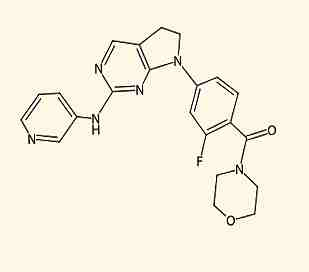 O=C(c1ccc(N2CCc3cnc(Nc4cccnc4)nc32)cc1F)N1CCOCC1